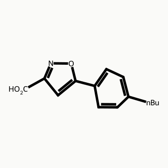 CCCCc1ccc(-c2cc(C(=O)O)no2)cc1